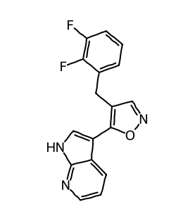 Fc1cccc(Cc2cnoc2-c2c[nH]c3ncccc23)c1F